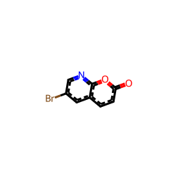 O=c1ccc2cc(Br)cnc2o1